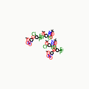 CC(C)Oc1cc(-n2nc(C(C)(C)C)oc2=O)c(Cl)cc1Cl.CC(C)Oc1cc(-n2nc(C(C)(C)C)oc2=O)c(Cl)cc1Cl.CCOc1cc(Oc2ccc(C(F)(F)F)cc2Cl)ccc1[N+](=O)[O-].CCOc1cc(Oc2ccc(C(F)(F)F)cc2Cl)ccc1[N+](=O)[O-]